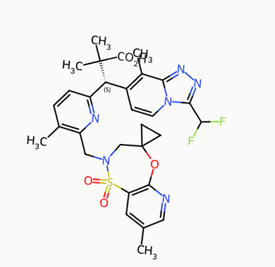 Cc1cnc2c(c1)S(=O)(=O)N(Cc1nc([C@@H](c3ccn4c(C(F)F)nnc4c3C)C(C)(C)C(=O)O)ccc1C)CC1(CC1)O2